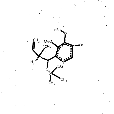 C=CC(C)(C)C(O[Si](C)(C)C(C)(C)C)c1ncc(Br)c(OCCCC)c1OC